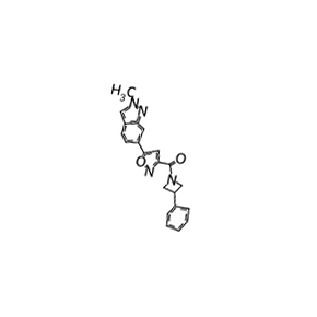 Cn1cc2ccc(-c3cc(C(=O)N4CC(c5ccccc5)C4)no3)cc2n1